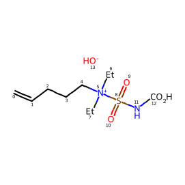 C=CCCC[N+](CC)(CC)S(=O)(=O)NC(=O)O.[OH-]